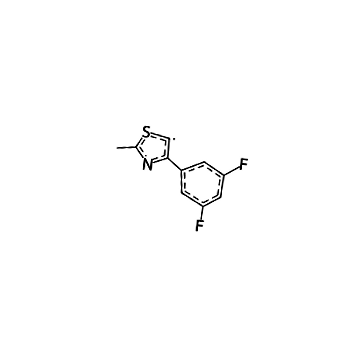 Cc1nc(-c2cc(F)cc(F)c2)[c]s1